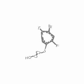 OOOSc1cc(F)c(Br)cc1F